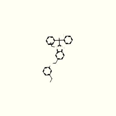 CCc1cccc(OCc2ccc3nc(C(O)(c4ccccc4)c4ccccc4)n(CC)c3c2)c1